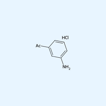 CC(=O)c1cccc(N)c1.Cl